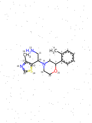 Cc1ccccc1C1CN(C(CN)c2scnc2C)CCO1